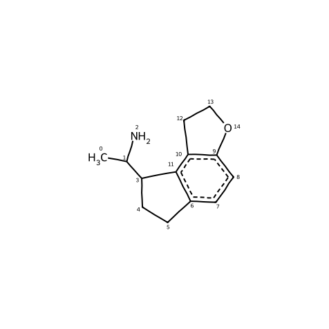 CC(N)C1CCc2ccc3c(c21)CCO3